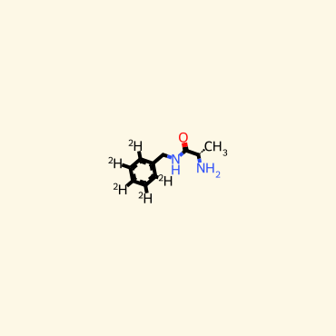 [2H]c1c([2H])c([2H])c(CNC(=O)[C@H](C)N)c([2H])c1[2H]